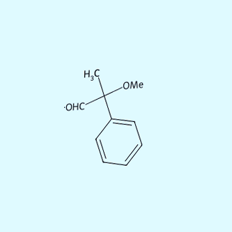 COC(C)([C]=O)c1ccccc1